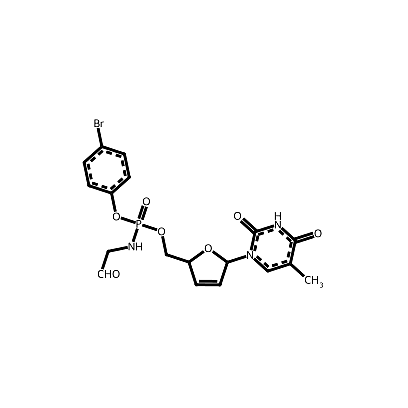 Cc1cn(C2C=CC(COP(=O)(NCC=O)Oc3ccc(Br)cc3)O2)c(=O)[nH]c1=O